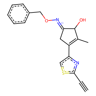 C#Cc1nc(C2=C(C)C(O)/C(=N/OCc3ccccc3)C2)cs1